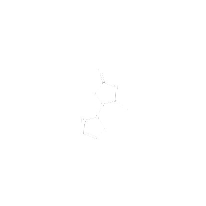 O=C1CN(N2CC=CN2)C(=O)N1